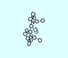 c1ccc(-c2ccc(N(c3ccc4c(c3)C3(c5cc(N(c6ccc(-c7ccccc7)cc6)c6cccc7c6oc6ccccc67)c6c(oc7ccccc76)c5-4)C4CC5CC(C4)CC3C5)c3cccc4c3oc3ccccc34)cc2)cc1